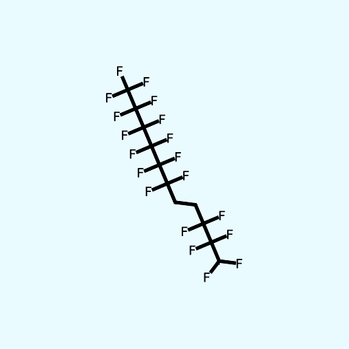 F[C](F)C(F)(F)C(F)(F)CCC(F)(F)C(F)(F)C(F)(F)C(F)(F)C(F)(F)C(F)(F)F